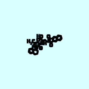 CC(C)C[C@@H](NC(CCN1C(=O)c2cc3ccccc3cc2C1=O)C(=O)O)C(=O)N[C@H]1CCCc2ccccc21